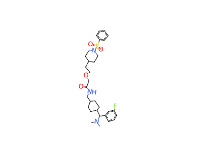 CN(C)C(c1cccc(F)c1)C1CCC(CNC(=O)COCCC2CCN(S(=O)(=O)c3ccccc3)CC2)CC1